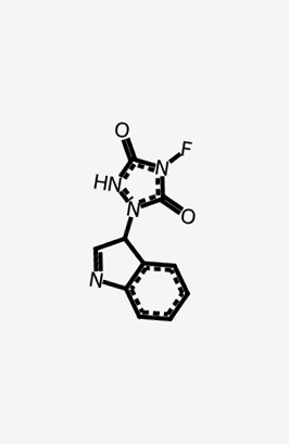 O=c1[nH]n(C2C=Nc3ccccc32)c(=O)n1F